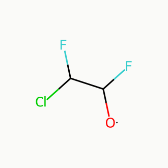 [O]C(F)C(F)Cl